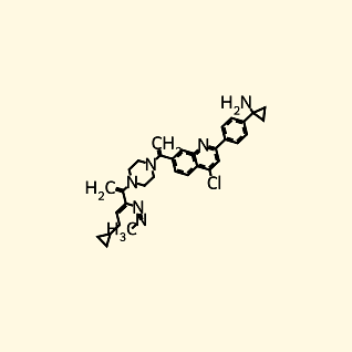 C=C(C(=C/CC1CC1)/N=N\C)N1CCN(C(=C)c2ccc3c(Cl)cc(-c4ccc(C5(N)CC5)cc4)nc3c2)CC1